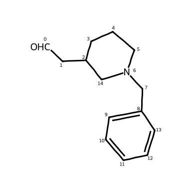 O=CCC1CCCN(Cc2ccccc2)C1